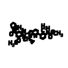 COC(=O)Nc1cccc(-c2ccc3cc(-c4nc5cc(C(=O)N6CC7CCC6[C@@H]7N)cc(OC)c5n4C)n(CC4CC4)c3n2)c1C